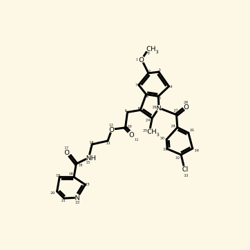 COc1ccc2c(c1)c(CC(=O)OCCNC(=O)c1cccnc1)c(C)n2C(=O)c1ccc(Cl)cc1